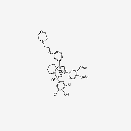 COc1ccc(CC[C@H](c2cccc(OCCN3CCOCC3)c2)C2(C(=O)O)CCCCN2S(=O)(=O)c2cc(Cl)c(O)c(Cl)c2)cc1OC